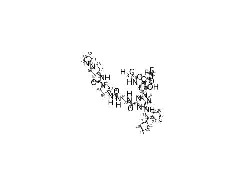 CCC(=O)N[C@H]1C[C@@H](n2cnc3c(NCC(c4ccccc4)c4ccccc4)nc(C(=O)NCCNC(=O)NC4CCN(C(=O)NC5CCN(c6ccccn6)CC5)CC4)nc32)[C@H](O)[C@@H]1OC(=O)C(F)(F)F